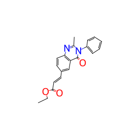 CCOC(=O)/C=C/c1ccc2nc(C)n(-c3ccccc3)c(=O)c2c1